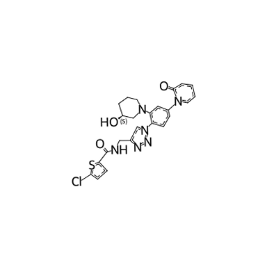 O=C(NCc1cn(-c2ccc(-n3ccccc3=O)cc2N2CCC[C@H](O)C2)nn1)c1ccc(Cl)s1